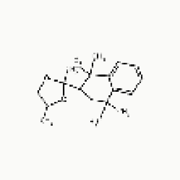 CC1COC(C)(C2CC(C)(C)c3ccccc3C2(C)C)O1